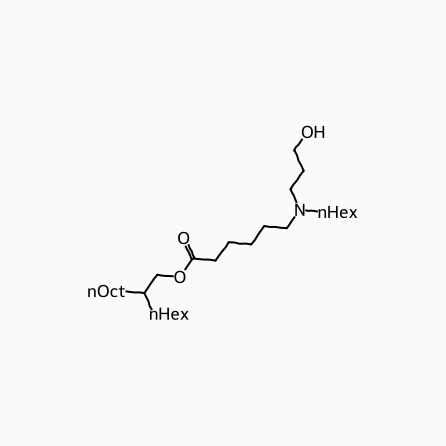 CCCCCCCCC(CCCCCC)COC(=O)CCCCCN(CCCO)CCCCCC